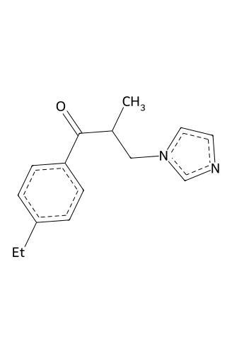 CCc1ccc(C(=O)C(C)Cn2ccnc2)cc1